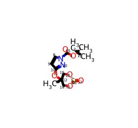 CC(C)(C)OC(=O)n1ccc(OC2(C)COS(=O)OC2)n1